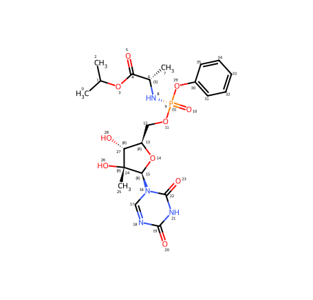 CC(C)OC(=O)[C@H](C)N[P@](=O)(OC[C@H]1O[C@@H](n2cnc(=O)[nH]c2=O)[C@](C)(O)[C@@H]1O)Oc1ccccc1